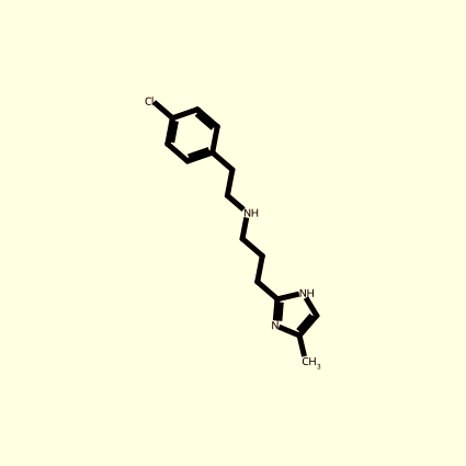 Cc1c[nH]c(CCCNCCc2ccc(Cl)cc2)n1